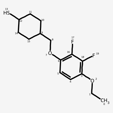 CCOc1ccc(OCC2CCC(S)CC2)c(F)c1F